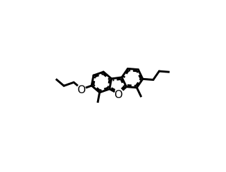 CCCOc1ccc2c(oc3c(C)c(CCC)ccc32)c1C